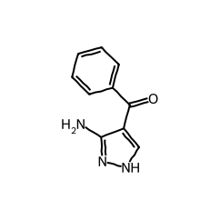 Nc1n[nH]cc1C(=O)c1ccccc1